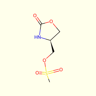 CS(=O)(=O)OC[C@@H]1COC(=O)N1